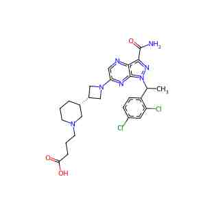 CC(c1ccc(Cl)cc1Cl)n1nc(C(N)=O)c2ncc(N3CC([C@H]4CCCN(CCCC(=O)O)C4)C3)nc21